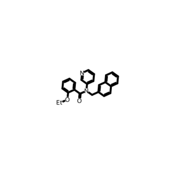 CCOc1ccccc1C(=O)N(Cc1ccc2ccccc2c1)c1cccnc1